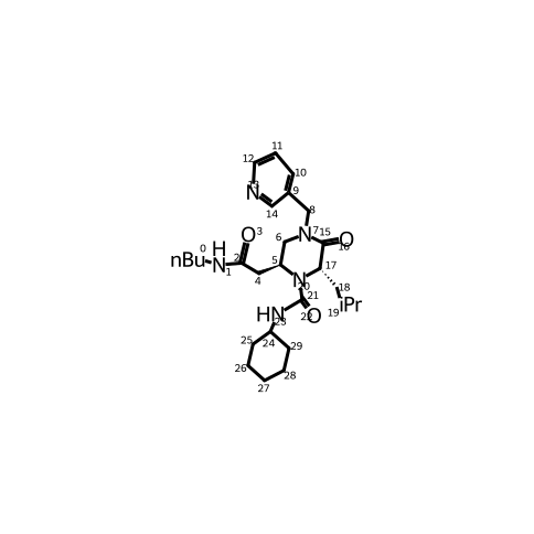 CCCCNC(=O)C[C@H]1CN(Cc2cccnc2)C(=O)[C@H](CC(C)C)N1C(=O)NC1CCCCC1